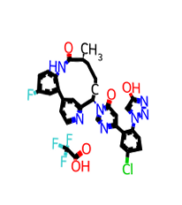 C[C@@H]1CCC[C@H](n2cnc(-c3cc(Cl)ccc3-n3cc(O)nn3)cc2=O)c2cc(ccn2)-c2cc(F)ccc2NC1=O.O=C(O)C(F)(F)F